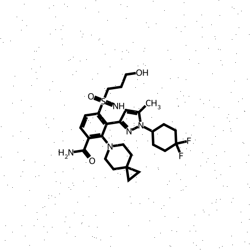 Cc1cc(-c2c(S(=N)(=O)CCCO)ccc(C(N)=O)c2N2CCC3(CC2)CC3)nn1C1CCC(F)(F)CC1